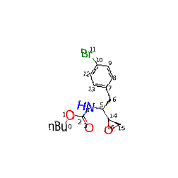 CCCCOC(=O)N[C@@H](Cc1ccc(Br)cc1)[C@H]1CO1